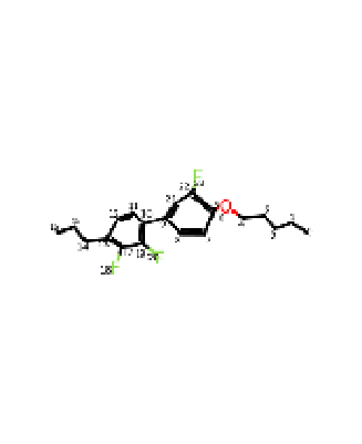 CCCCCOc1ccc(-c2ccc(CCC)c(F)c2F)cc1F